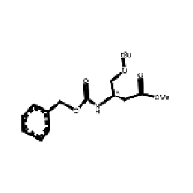 COC(=O)C[C@H](COC(C)(C)C)NC(=O)OCc1ccccc1